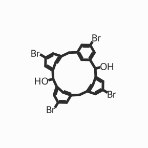 OC1c2cc(Br)cc(c2)Cc2cc(Br)cc(c2)C(O)c2cc(Br)cc(c2)Cc2cc(Br)cc1c2